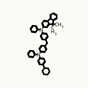 CC1(C)c2ccccc2-c2ccc(N(c3ccccc3)c3ccc(Cc4ccc(N(c5ccccc5)c5ccc(C6CCCCC6)cc5)cc4)cc3)cc21